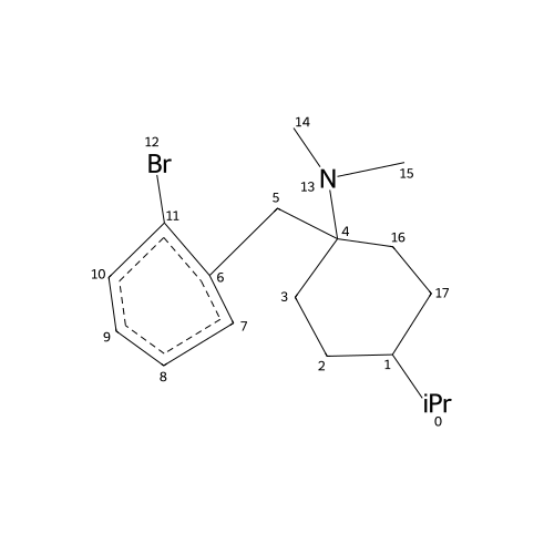 CC(C)C1CCC(Cc2ccccc2Br)(N(C)C)CC1